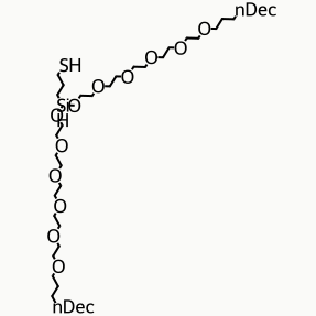 CCCCCCCCCCCCCOCCOCCOCCOCCOCCO[SiH](CCCS)OCCOCCOCCOCCOCCOCCCCCCCCCCCCC